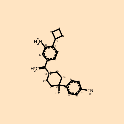 C=C(c1ccc(C2CCC2)c(N)c1)N1CCC(F)(c2ccc(C#N)cc2)CC1